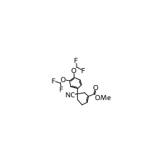 COC(=O)C1=CCCC(C#N)(c2ccc(OC(F)F)c(OC(F)F)c2)C1